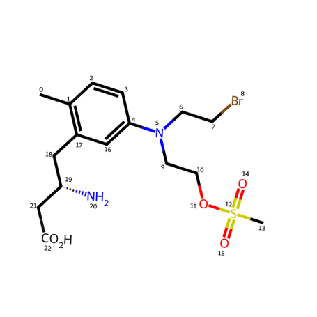 Cc1ccc(N(CCBr)CCOS(C)(=O)=O)cc1C[C@H](N)CC(=O)O